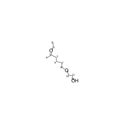 CCOC(C)CCCCOCCO